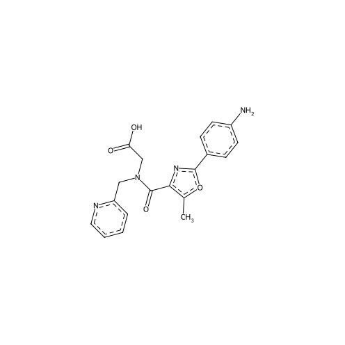 Cc1oc(-c2ccc(N)cc2)nc1C(=O)N(CC(=O)O)Cc1ccccn1